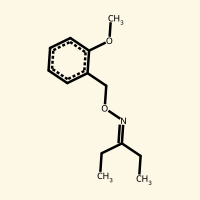 CCC(CC)=NOCc1ccccc1OC